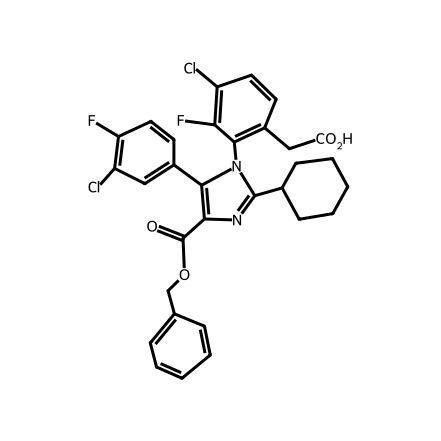 O=C(O)Cc1ccc(Cl)c(F)c1-n1c(C2CCCCC2)nc(C(=O)OCc2ccccc2)c1-c1ccc(F)c(Cl)c1